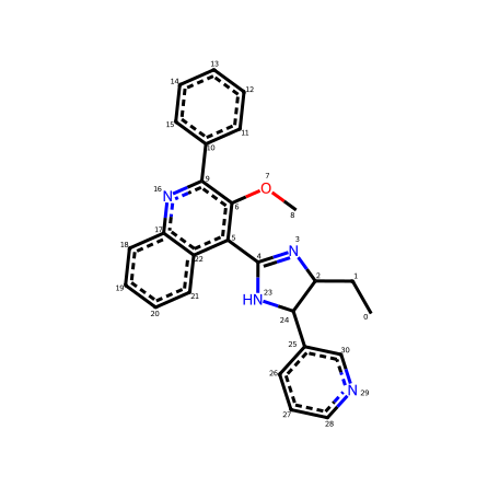 CCC1N=C(c2c(OC)c(-c3ccccc3)nc3ccccc23)NC1c1cccnc1